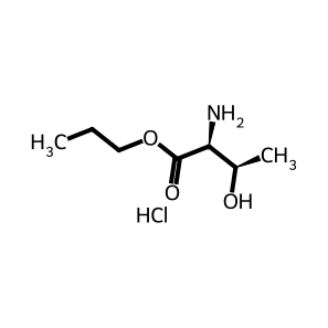 CCCOC(=O)[C@@H](N)[C@@H](C)O.Cl